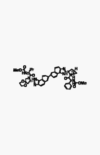 COC(=O)N[C@H](C(=O)N1CC2(C[C@H]1c1nc3ccc4cc(-c5ccc6c(ccc7nc([C@@H]8C[C@H]9C[C@H]9N8C(=O)[C@H](NC(=O)OC)c8ccccc8)[nH]c76)c5)ccc4c3[nH]1)OCCO2)C(C)C